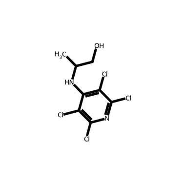 CC(CO)Nc1c(Cl)c(Cl)nc(Cl)c1Cl